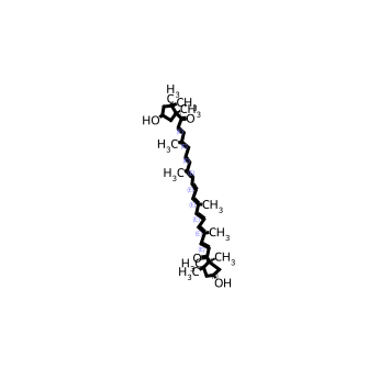 CC(/C=C/C=C(C)/C=C/C(=O)[C@]1(C)CC(O)CC1(C)C)=C\C=C\C=C(C)\C=C\C=C(C)\C=C\C(=O)[C@]1(C)C[C@@H](O)CC1(C)C